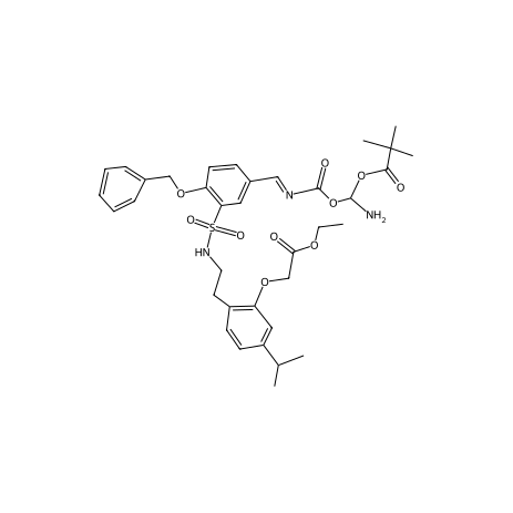 CCOC(=O)COc1cc(C(C)C)ccc1CCNS(=O)(=O)c1cc(C=NC(=O)OC(N)OC(=O)C(C)(C)C)ccc1OCc1ccccc1